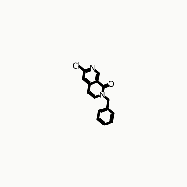 O=c1c2cnc(Cl)cc2ccn1Cc1ccccc1